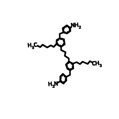 CCCCCCc1cc(Cc2ccc(N)cc2)ccc1CCCCc1ccc(Cc2ccc(N)cc2)cc1CCCCCC